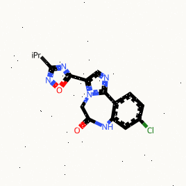 CC(C)c1noc(-c2cnc3n2CC(=O)Nc2cc(Cl)ccc2-3)n1